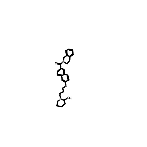 CC1CCCCN1CCCOc1ccc2cc(C(=O)N3CCc4ccccc4C3)ccc2c1